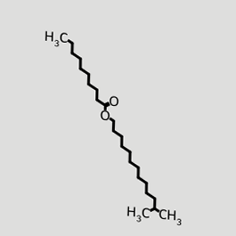 CCCCCCCCCC(=O)OCCCCCCCCCCCC(C)C